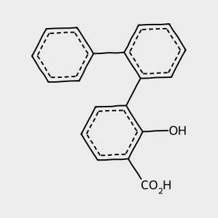 O=C(O)c1cccc(-c2ccccc2-c2ccccc2)c1O